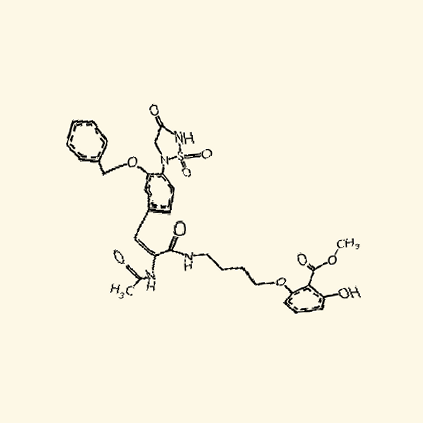 COC(=O)c1c(O)cccc1OCCCCNC(=O)/C(=C\c1ccc(N2CC(=O)NS2(=O)=O)c(OCc2ccccc2)c1)NC(C)=O